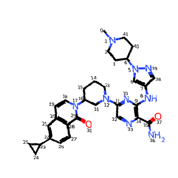 CN1CCC(n2cc(Nc3nc(N4CCCC(n5ccc6cc(C7CC7)ccc6c5=O)C4)cnc3C(N)=O)cn2)CC1